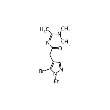 CCn1ncc(CC(=O)N=C(C)N(C)C)c1Br